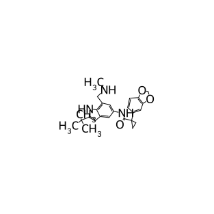 CNCc1cc(NC(=O)C2(c3ccc4c(c3)OCO4)CC2)cc2cc(C(C)(C)C)[nH]c12